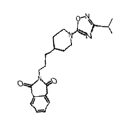 CC(C)c1noc(N2CCC(CCCN3C(=O)c4ccccc4C3=O)CC2)n1